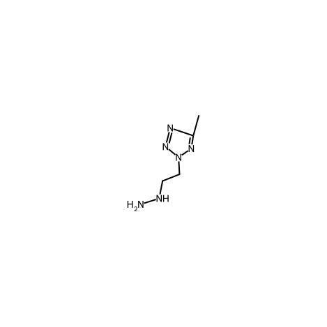 Cc1nnn(CCNN)n1